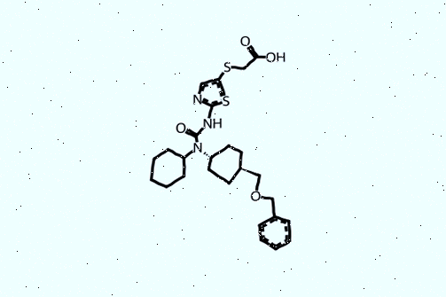 O=C(O)CSc1cnc(NC(=O)N(C2CCCCC2)[C@H]2CC[C@H](COCc3ccccc3)CC2)s1